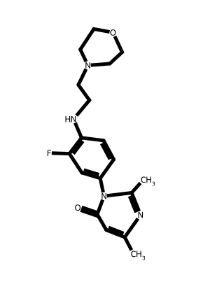 Cc1cc(=O)n(-c2ccc(NCCN3CCOCC3)c(F)c2)c(C)n1